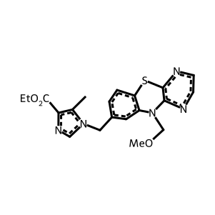 CCOC(=O)c1ncn(Cc2ccc3c(c2)N(COC)c2nccnc2S3)c1C